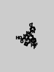 COc1ccnc(-c2nc3nc(C(=O)O)nc(N[C@H](C)C4CCC4)c3n2Cc2ccc(C(F)(F)F)cc2)c1